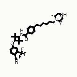 C[C@@H]1CNC[C@H](C)N1CCCCCCc1ccc(C(=O)N[C@H]2C(C)(C)[C@H](Oc3ccc(C#N)c(C(F)(F)F)c3)C2(C)C)cc1